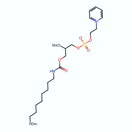 CCCCCCCCCCCCCCCCCCNC(=O)OCC(COP(=O)([O-])OCC[n+]1ccccc1)OC